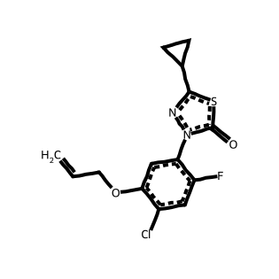 C=CCOc1cc(-n2nc(C3CC3)sc2=O)c(F)cc1Cl